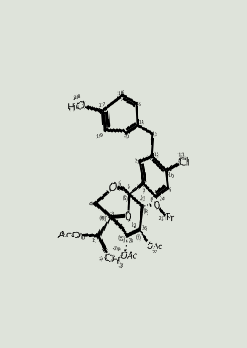 CC(=O)OC(C)[C@@]12CO[C@@](c3ccc(Cl)c(Cc4ccc(O)cc4)c3)(O1)[C@H](OC(C)C)[C@@H](OC(C)=O)[C@@H]2OC(C)=O